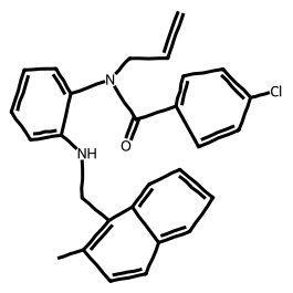 C=CCN(C(=O)c1ccc(Cl)cc1)c1ccccc1NCc1c(C)ccc2ccccc12